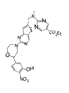 CCOC(=O)c1cnc(N(C)Cc2cc3nc(N4CCOC(c5ccc([N+](=O)[O-])c(O)c5)C4)ncc3s2)nc1